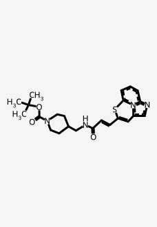 CC(C)(C)OC(=O)N1CCC(CNC(=O)C=CC2=Cc3cnc4cccc(n34)S2)CC1